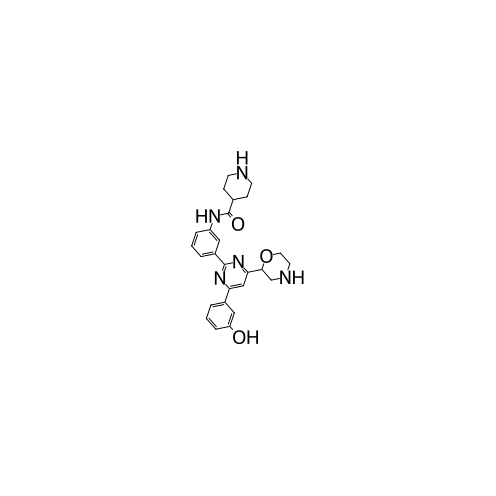 O=C(Nc1cccc(-c2nc(-c3cccc(O)c3)cc(C3CNCCO3)n2)c1)C1CCNCC1